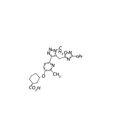 CCCc1noc(Cc2c(-c3ccc(O[C@H]4CCC[C@H](C(=O)O)C4)c(C)n3)nnn2C)n1